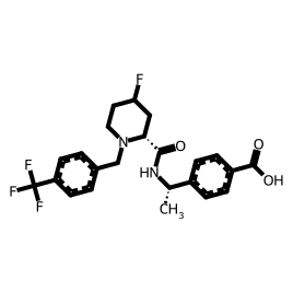 C[C@H](NC(=O)[C@H]1CC(F)CCN1Cc1ccc(C(F)(F)F)cc1)c1ccc(C(=O)O)cc1